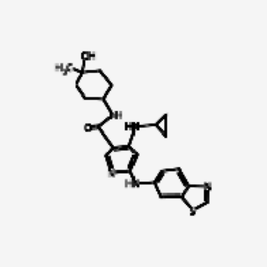 CC1(O)CCC(NC(=O)c2cnc(Nc3ccc4ncsc4c3)cc2NC2CC2)CC1